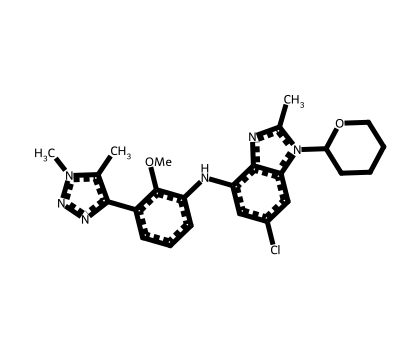 COc1c(Nc2cc(Cl)cc3c2nc(C)n3C2CCCCO2)cccc1-c1nnn(C)c1C